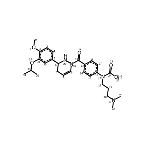 COc1ccc(C2CC=CN(C(=O)c3ccc(N(CCCN(C)C)C(=O)O)cc3)N2)cc1OC(C)C